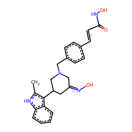 Cc1[nH]c2ccccc2c1C1C/C(=N/O)CN(Cc2ccc(/C=C/C(=O)NO)cc2)C1